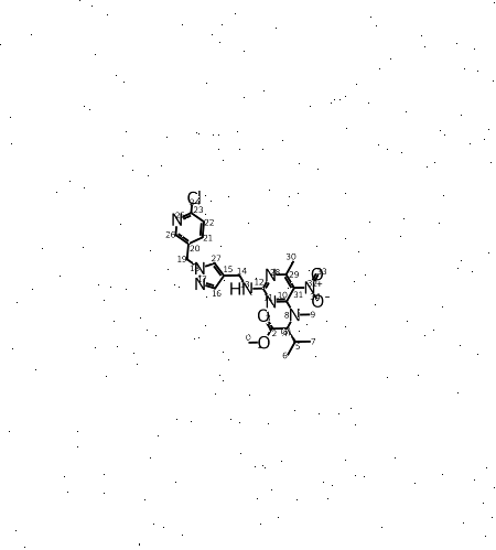 COC(=O)[C@H](C(C)C)N(C)c1nc(NCc2cnn(Cc3ccc(Cl)nc3)c2)nc(C)c1[N+](=O)[O-]